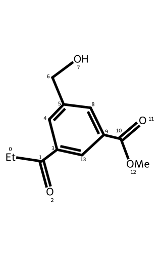 CCC(=O)c1cc(CO)cc(C(=O)OC)c1